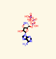 NOC1C(O)[C@H](n2cnc3c(N)ncnc32)O[C@@H]1COP(=O)(O)OP(=O)(O)OP(=O)(O)O